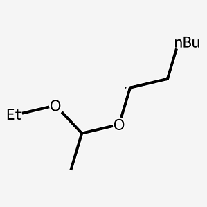 CCCCC[CH]OC(C)OCC